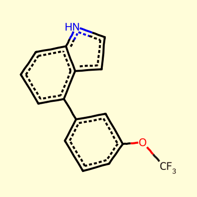 FC(F)(F)Oc1cccc(-c2cccc3[nH]ccc23)c1